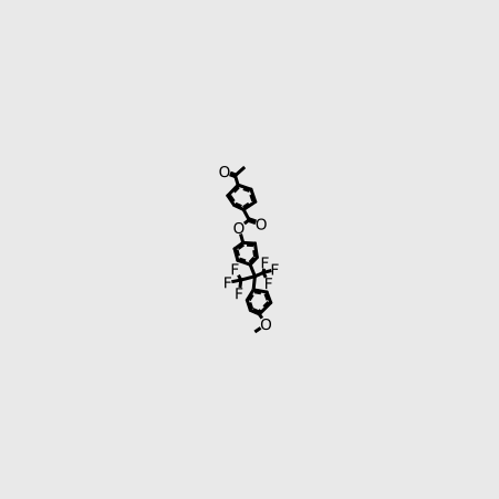 COc1ccc(C(c2ccc(OC(=O)c3ccc(C(C)=O)cc3)cc2)(C(F)(F)F)C(F)(F)F)cc1